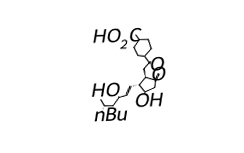 CCCC[C@H](C)C[C@H](O)C=C[C@H]1[C@H](O)CC(=O)[C@@H]1CC(=O)C1CCC(C(=O)O)CC1